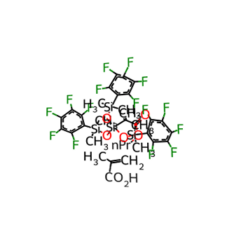 C=C(C(=O)OCCC)[Si](O[Si](C)(C)c1c(F)c(F)c(F)c(F)c1F)(O[Si](C)(C)c1c(F)c(F)c(F)c(F)c1F)O[Si](C)(C)c1c(F)c(F)c(F)c(F)c1F.C=C(C)C(=O)O